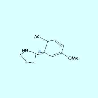 COC1=C/C(=C2\CCCN2)C(C(C)=O)C=C1